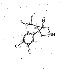 COC(C)[C@H]1[C@@H]2CNC[C@@]21c1ccc(Cl)c(Cl)c1